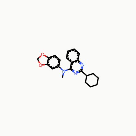 CN(c1ccc2c(c1)OCO2)c1nc(C2CCCCC2)nc2ccccc12